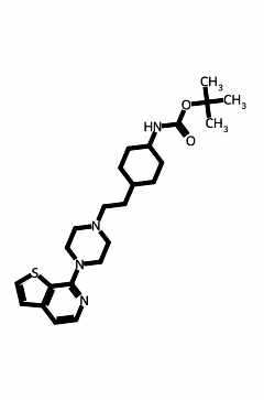 CC(C)(C)OC(=O)NC1CCC(CCN2CCN(c3nccc4ccsc34)CC2)CC1